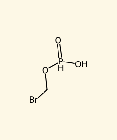 O=[PH](O)OCBr